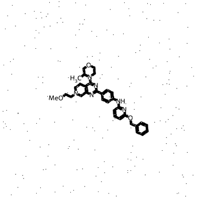 COCCN1CCc2c(nc(-c3ccc(Nc4cccc(OCc5ccccc5)n4)cc3)nc2N2CCOCC2C)C1